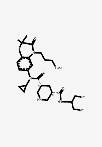 COCCCN1C(=O)C(C)(C)Oc2ccc(N(C(=O)[C@H]3CNC[C@@H](C(=O)NC(CC(C)C)CC(C)C)C3)C3CC3)cc21